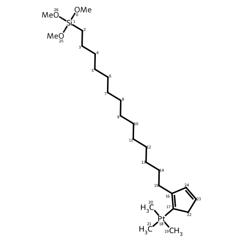 CO[Si](CCCCCCCCCCCCCCC1=[C]([Pt]([CH3])([CH3])[CH3])CC=C1)(OC)OC